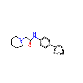 O=C(CN1CCCCC1)Nc1ccc(-c2ccccc2)cc1